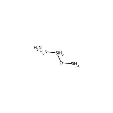 N.N[SiH2]O[SiH3]